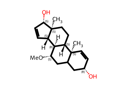 CO[C@H]1CC2C[C@@H](O)C=C[C@]2(C)[C@H]2CC[C@]3(C)[C@@H](O)C=C[C@H]3[C@H]12